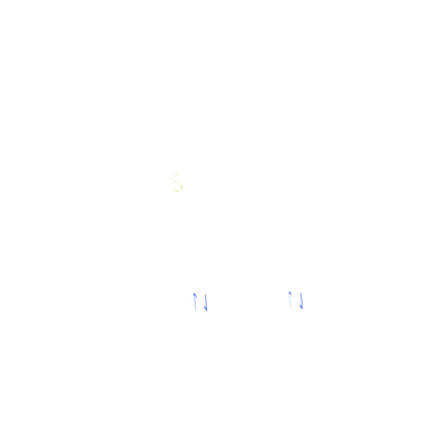 [c]1csc2c1N=C[N]2